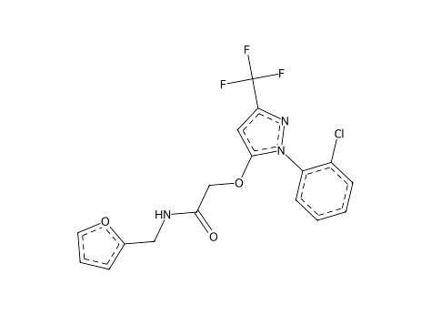 O=C(COc1cc(C(F)(F)F)nn1-c1ccccc1Cl)NCc1ccco1